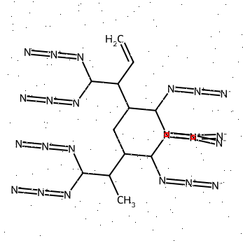 C=CC(C(N=[N+]=[N-])N=[N+]=[N-])C(CC(C(N=[N+]=[N-])N=[N+]=[N-])C(C)C(N=[N+]=[N-])N=[N+]=[N-])C(N=[N+]=[N-])N=[N+]=[N-]